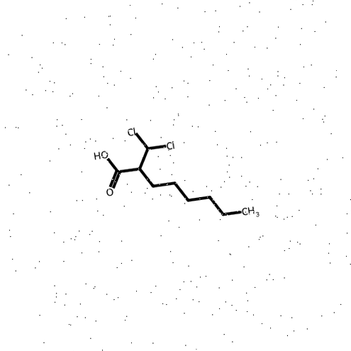 CCCCCCC(C(=O)O)C(Cl)Cl